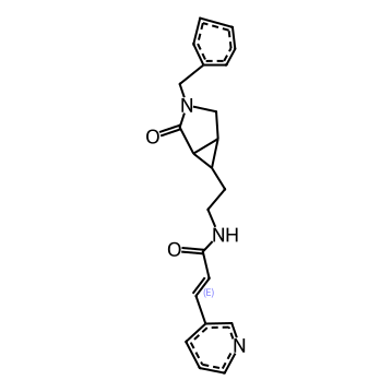 O=C(/C=C/c1cccnc1)NCCC1C2CN(Cc3ccccc3)C(=O)C12